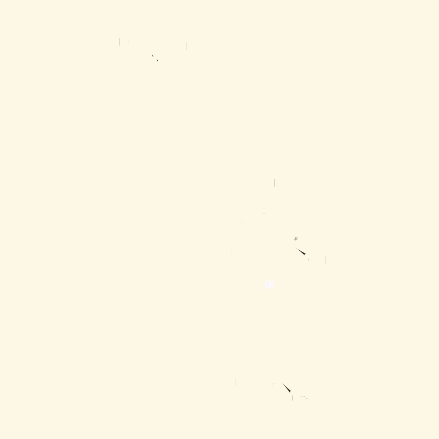 CCCC[C@@H](C)CC/C=C/[C@@H]1[C@H]2CC(CCCCCN(C)C)=C[C@H]2C[C@H]1O